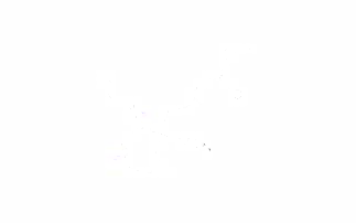 C=C/C=C(\C=C/C)C(C#N)(CC)CCCC(=O)OC